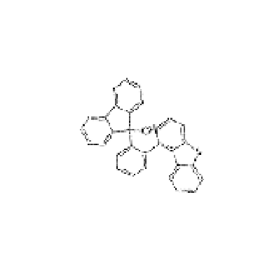 OC1(c2ccccc2-c2cccc3sc4ccccc4c23)c2ccccc2-c2ccccc21